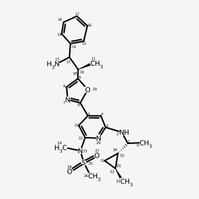 CC(Nc1cc(-c2ncc([C@H](C)C(N)c3ccccc3)o2)cc(N(C)S(C)(=O)=O)n1)[C@H]1C[C@@H]1C